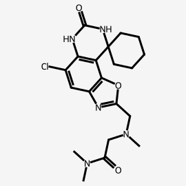 CN(CC(=O)N(C)C)Cc1nc2cc(Cl)c3c(c2o1)C1(CCCCC1)NC(=O)N3